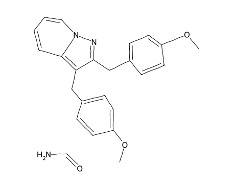 COc1ccc(Cc2nn3ccccc3c2Cc2ccc(OC)cc2)cc1.NC=O